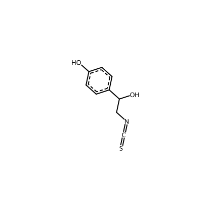 Oc1ccc(C(O)CN=C=S)cc1